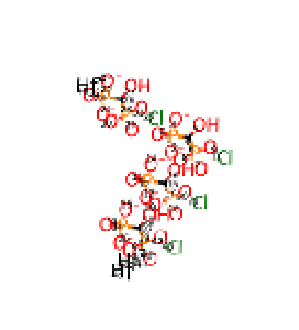 O=P([O-])([O-])C(O)P(=O)([O-])OCl.O=P([O-])([O-])C(O)P(=O)([O-])OCl.O=P([O-])([O-])C(O)P(=O)([O-])OCl.O=P([O-])([O-])C(O)P(=O)([O-])OCl.[Hf+4].[Hf+4].[Hf+4]